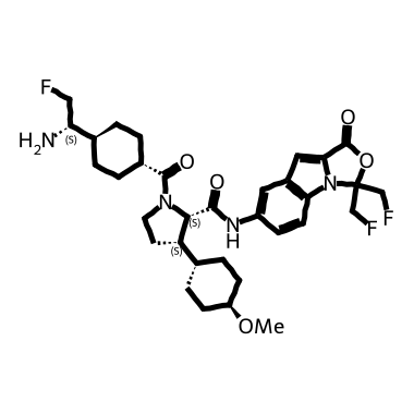 CO[C@H]1CC[C@H]([C@@H]2CCN(C(=O)[C@H]3CC[C@H]([C@H](N)CF)CC3)[C@@H]2C(=O)Nc2ccc3c(c2)cc2n3C(CF)(CF)OC2=O)CC1